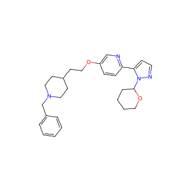 c1ccc(CN2CCC(CCOc3ccc(-c4ccnn4C4CCCCO4)nc3)CC2)cc1